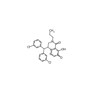 CCCN1CC(C(c2cccc(Cl)c2)c2cccc(Cl)c2)n2ncc(=O)c(O)c2C1=O